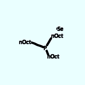 CCCCCCCCP(CCCCCCCC)CCCCCCCC.[Se]